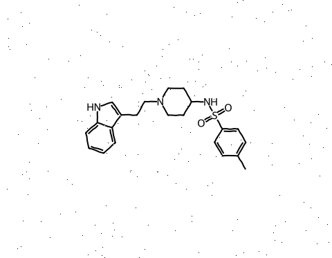 Cc1ccc(S(=O)(=O)NC2CCN(CCc3c[nH]c4ccccc34)CC2)cc1